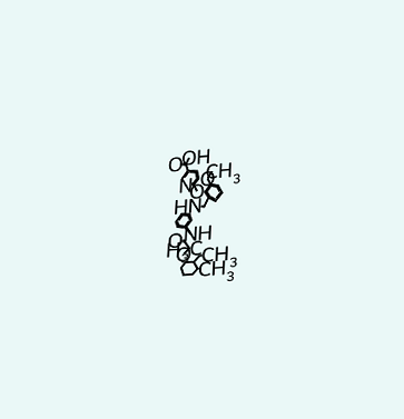 COc1cccc(CNc2cccc(NC(=O)COC3CCCC(C)C3C(C)C)c2)c1Oc1ccc(C(=O)O)cn1